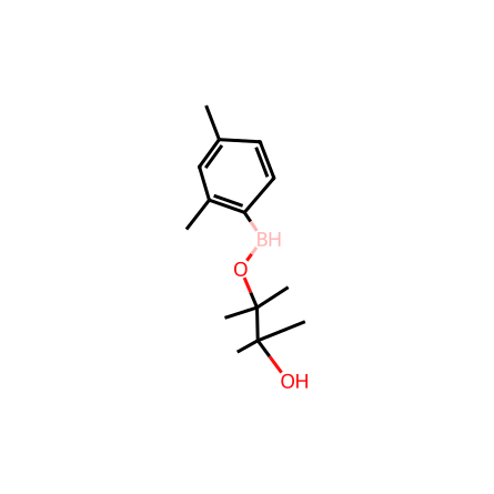 Cc1ccc(BOC(C)(C)C(C)(C)O)c(C)c1